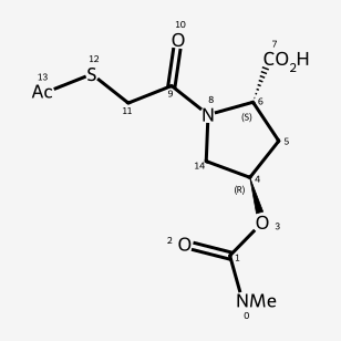 CNC(=O)O[C@@H]1C[C@@H](C(=O)O)N(C(=O)CSC(C)=O)C1